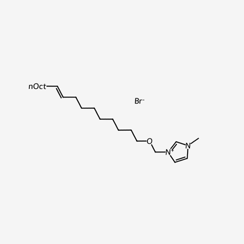 CCCCCCCCC=CCCCCCCCCOC[n+]1ccn(C)c1.[Br-]